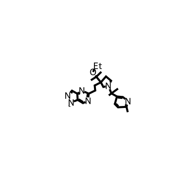 CCOC(C)(C)C1(CCc2ncc3c(cnn3C)n2)CCN(C(C)(C)c2ccc(C)nc2)C1